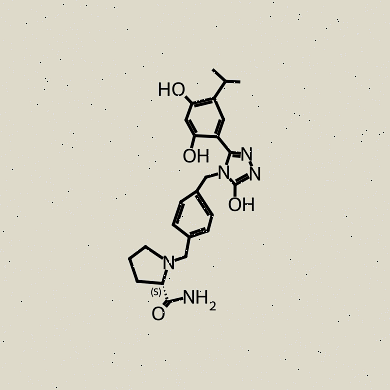 CC(C)c1cc(-c2nnc(O)n2Cc2ccc(CN3CCC[C@H]3C(N)=O)cc2)c(O)cc1O